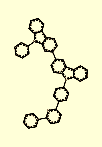 c1ccc(-c2cccc(-c3ccc(-n4c5ccccc5c5cc(-c6ccc7c8ccccc8n(-c8ccccc8)c7c6)ccc54)cc3)n2)cc1